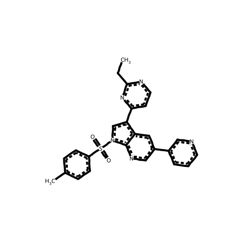 CCc1nccc(-c2cn(S(=O)(=O)c3ccc(C)cc3)c3ncc(-c4cccnc4)cc23)n1